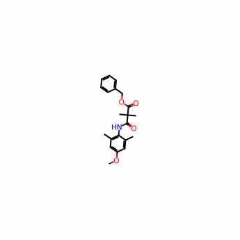 COc1cc(C)c(NC(=O)C(C)(C)C(=O)OCc2ccccc2)c(C)c1